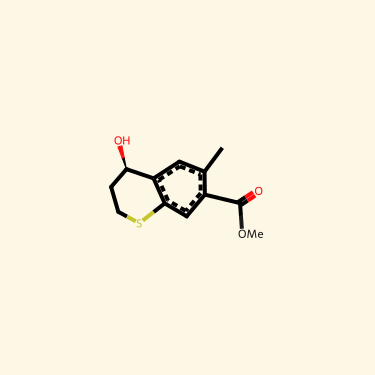 COC(=O)c1cc2c(cc1C)[C@H](O)CCS2